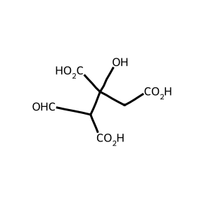 O=CC(C(=O)O)C(O)(CC(=O)O)C(=O)O